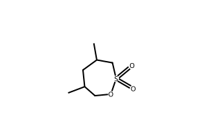 CC1COS(=O)(=O)CC(C)C1